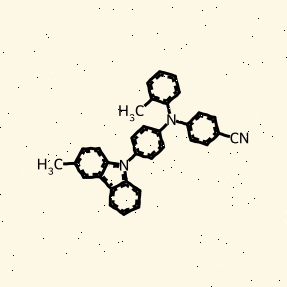 Cc1ccc2c(c1)c1ccccc1n2-c1ccc(N(c2ccc(C#N)cc2)c2ccccc2C)cc1